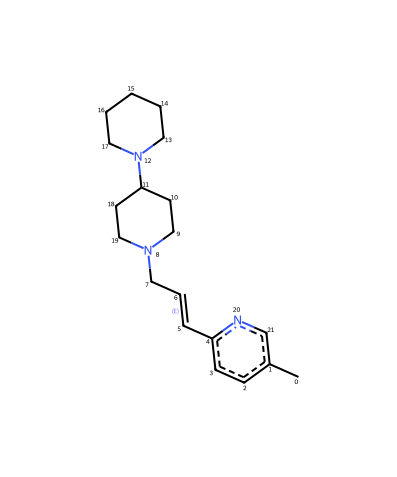 Cc1ccc(/C=C/CN2CCC(N3CCCCC3)CC2)nc1